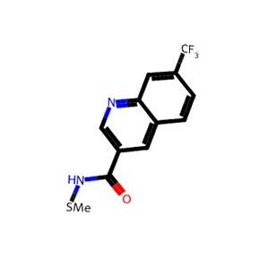 CSNC(=O)c1cnc2cc(C(F)(F)F)ccc2c1